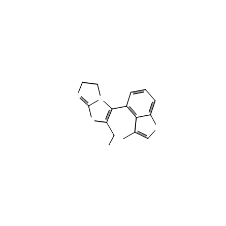 Cc1csc2cccc(C3=C(CO)SC4=NCCN43)c12